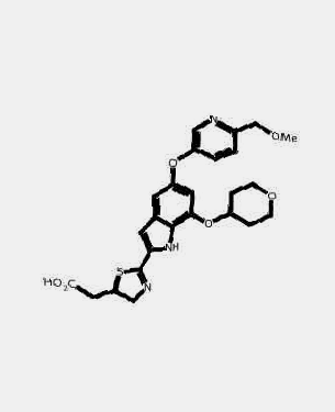 COCc1ccc(Oc2cc(OC3CCOCC3)c3[nH]c(C4=NCC(CC(=O)O)S4)cc3c2)cn1